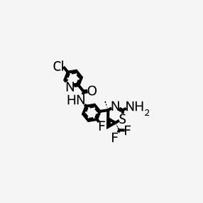 C[C@]1(c2cc(NC(=O)c3ccc(Cl)cn3)ccc2F)N=C(N)S[C@@]2(C(F)F)C=C12